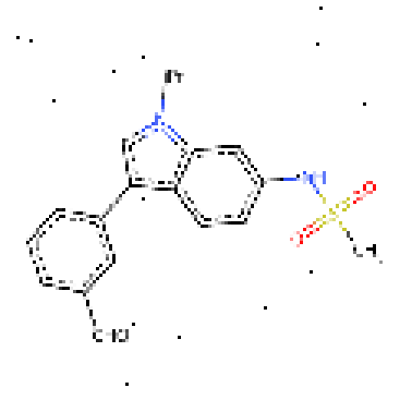 CC(C)n1cc(-c2cccc(C=O)c2)c2ccc(NS(C)(=O)=O)cc21